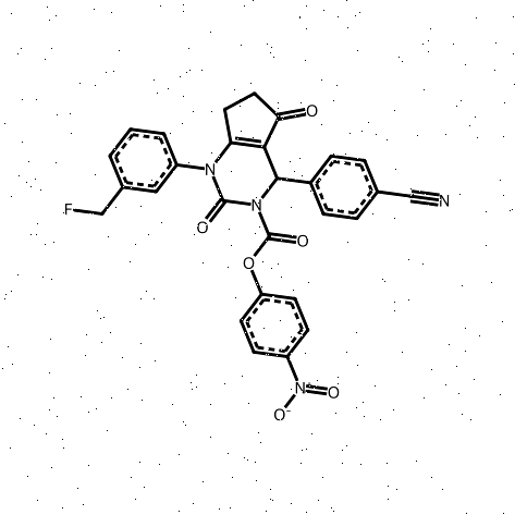 N#Cc1ccc(C2C3=C(CCC3=O)N(c3cccc(CF)c3)C(=O)N2C(=O)Oc2ccc([N+](=O)[O-])cc2)cc1